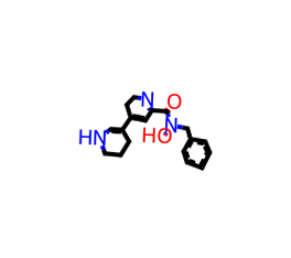 O=C(C1=NCCC(C2=CNCCC2)=C1)N(O)Cc1ccccc1